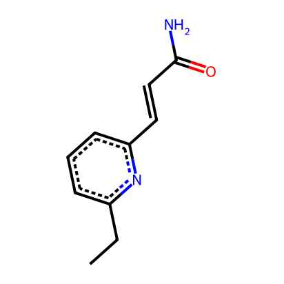 CCc1cccc(/C=C/C(N)=O)n1